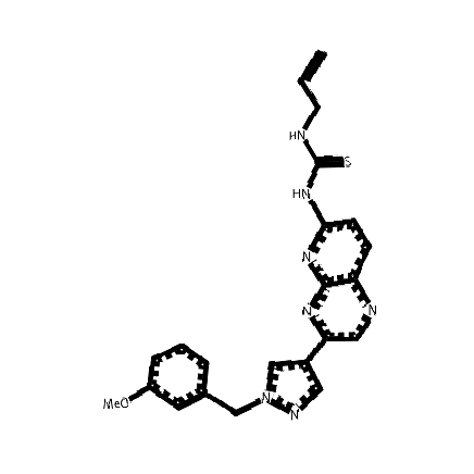 C=CCNC(=S)Nc1ccc2ncc(-c3cnn(Cc4cccc(OC)c4)c3)nc2n1